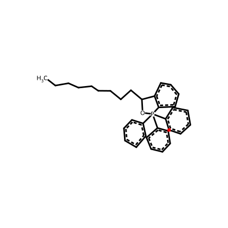 CCCCCCCCCC1OP(c2ccccc2)(c2ccccc2)(c2ccccc2)c2ccccc21